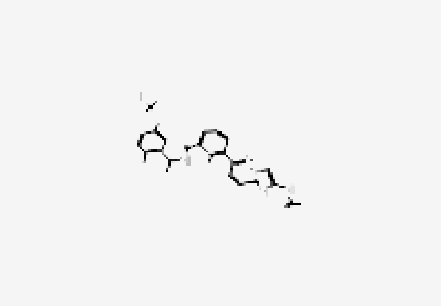 CC(=O)Nc1cn2nc(-c3ccc(O)c(C(=O)NC(C)c4cc(OC(F)(F)F)ccc4F)c3F)ccc2n1